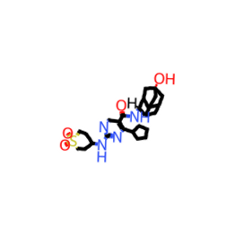 O=C(N[C@H]1C2CC3CC1C[C@@](O)(C3)C2)c1cnc(NC2CCS(=O)(=O)CC2)nc1C1CCCC1